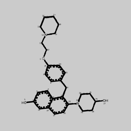 Oc1ccc2c(Cc3ccc(OCCN4CCCCC4)cc3)c(N3CCC(O)CC3)ccc2c1